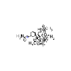 CC1(C)OB(C2(c3cc(NS(C)(=O)=O)cc(NS(C)(=O)=O)c3)C=CC=C(/C=C/C(N)=O)C2)OC1(C)C